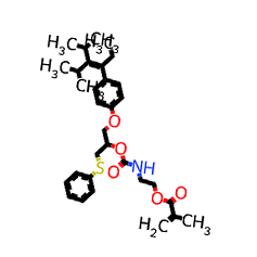 C=C(C)C(=O)OCCNC(=O)OC(COc1ccc(C(CC)=C(C(C)C)C(C)C)cc1)CSc1ccccc1